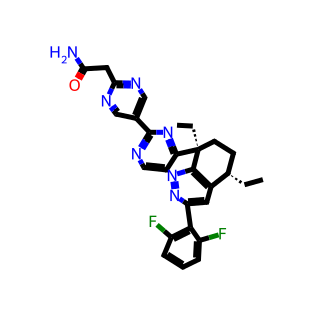 CC[C@H]1CC[C@](CC)(c2ccnc(-c3cnc(CC(N)=O)nc3)n2)c2nnc(-c3c(F)cccc3F)cc21